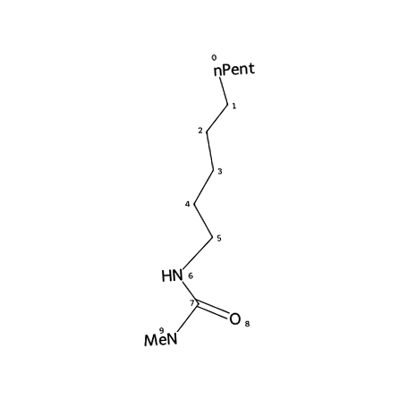 CCCCCCCCCCNC(=O)NC